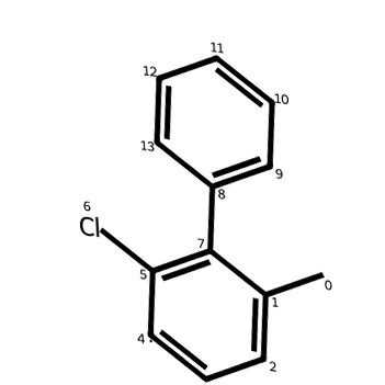 Cc1cc[c]c(Cl)c1-c1ccccc1